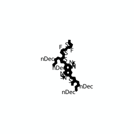 CCCCCCCCCCCCC(CCCCCCCCCC)Cc1cc(-c2cc3c(cc(-c4cc(CC(CCCCCCCCCC)CCCCCCCCCCCC)c(-c5cc(F)c(-c6sc(C)cc6F)s5)s4)c4nsnc43)c3nsnc23)sc1C